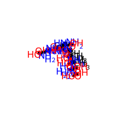 CC(C)C(N)C(=O)O.CC(C)C(N)C(=O)O.CC(C)CC(N)C(=O)O.N=C(N)NCCCC(N)C(=O)O.NC(=O)CC(N)C(=O)O.NC(CO)C(=O)O.NC(Cc1c[nH]c2ccccc12)C(=O)O.O=C(O)[C@@H]1CCCN1